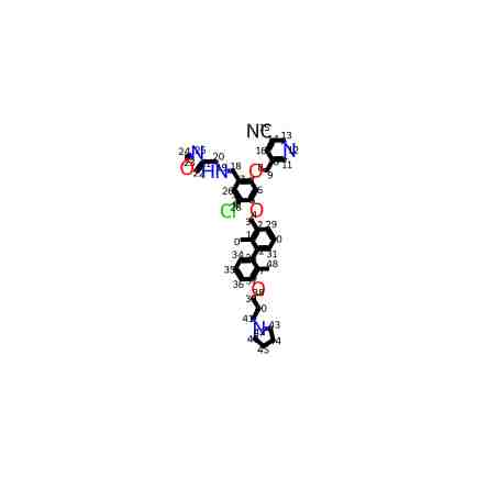 Cc1c(COc2cc(OCc3cncc(C#N)c3)c(CNCc3cocn3)cc2Cl)cccc1-c1cccc(OCCCN2CCCC2)c1C